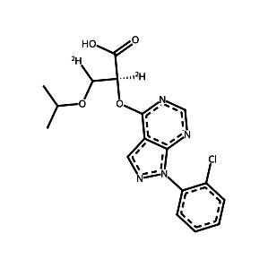 [2H]C(OC(C)C)[C@]([2H])(Oc1ncnc2c1cnn2-c1ccccc1Cl)C(=O)O